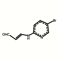 O=CC=CNc1ccc(Br)cn1